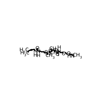 CNCCOCCOCCNC(=O)OCCC(C)(C)SSC(C)OCCCCNC(=O)NCC#CC(C)C